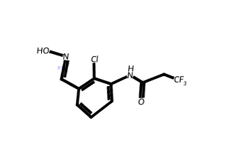 O=C(CC(F)(F)F)Nc1cccc(/C=N/O)c1Cl